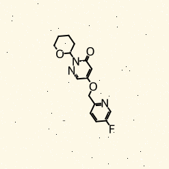 O=c1cc(OCc2ccc(F)cn2)cnn1C1CCCCO1